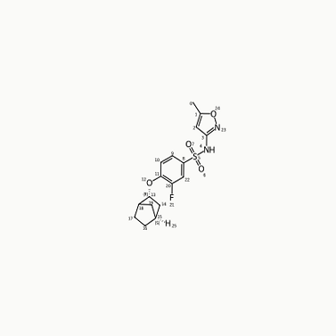 Cc1cc(NS(=O)(=O)c2ccc(O[C@@H]3C[C@H]4CCC3C4)c(F)c2)no1